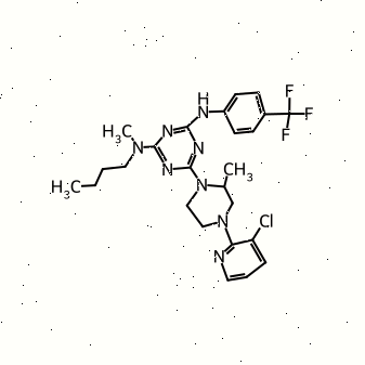 CCCCN(C)c1nc(Nc2ccc(C(F)(F)F)cc2)nc(N2CCN(c3ncccc3Cl)CC2C)n1